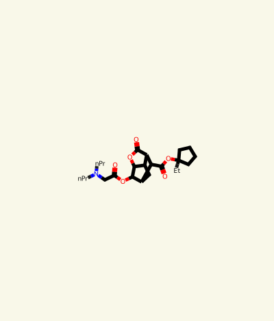 CCCN(CCC)CC(=O)OC1C2CC3C1OC(=O)C3C2C(=O)OC1(CC)CCCC1